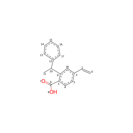 C=Cc1ccc(C(=O)O)c(C(C)c2ccccc2)c1